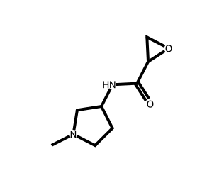 CN1CCC(NC(=O)C2CO2)C1